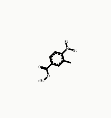 CCCCOC(=O)c1ccc(N(CC)CC)c(C)c1